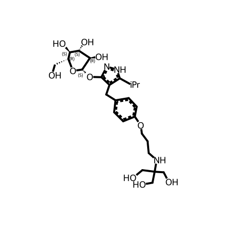 CC(C)c1[nH]nc(O[C@@H]2O[C@H](CO)[C@@H](O)[C@H](O)[C@H]2O)c1Cc1ccc(OCCCNC(CO)(CO)CO)cc1